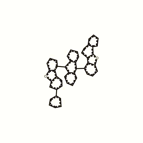 c1ccc(-c2ccc3c(c2)oc2cccc(-c4c5ccccc5c(-c5cccc6oc7c8ccccc8ccc7c56)c5ccccc45)c23)cc1